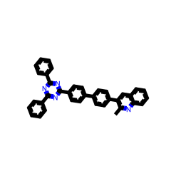 Cc1nc2ccccc2cc1-c1ccc(-c2ccc(-c3nc(-c4ccccc4)nc(-c4ccccc4)n3)cc2)cc1